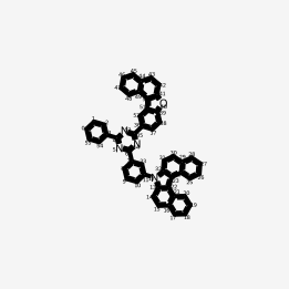 c1ccc(-c2nc(-c3cccc(-n4c5ccc6ccccc6c5c5c6ccccc6ccc54)c3)nc(-c3ccc4oc5ccc6ccccc6c5c4c3)n2)cc1